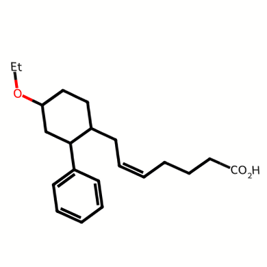 CCOC1CCC(C/C=C\CCCC(=O)O)C(c2ccccc2)C1